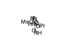 CO[C@@H](C(=O)N[C@@H](CCC(=O)C=N)C(=O)OC(C)C)c1ncccn1